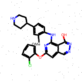 COc1cc(C2CCNCC2)ccc1Nc1nc(Oc2ccccc2Cl)cc2cnnc(O)c12